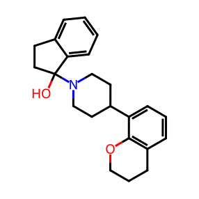 OC1(N2CCC(c3cccc4c3OCCC4)CC2)CCc2ccccc21